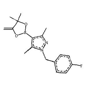 C=C1OB(c2c(C)nn(Cc3ccc(F)cc3)c2C)OC1(C)C